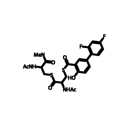 CNC(=O)C(CSC(=O)C(CSC(=O)c1cc(-c2ccc(F)cc2F)ccc1O)NC(C)=O)NC(C)=O